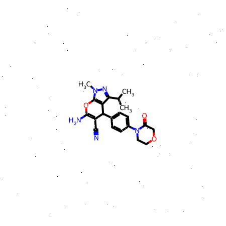 CC(C)c1nn(C)c2c1C(c1ccc(N3CCOCC3=O)cc1)C(C#N)=C(N)O2